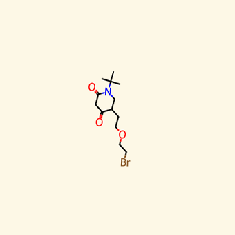 CC(C)(C)N1CC(CCOCCBr)C(=O)CC1=O